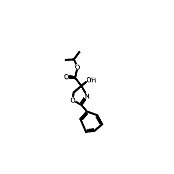 CC(C)OC(=O)C1(O)COC(c2ccccc2)=N1